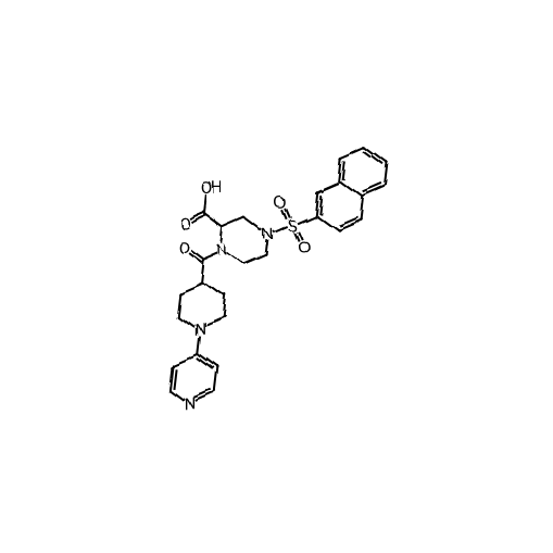 O=C(O)C1CN(S(=O)(=O)c2ccc3ccccc3c2)CCN1C(=O)C1CCN(c2ccncc2)CC1